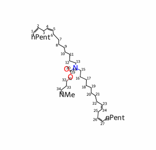 CCCCC/C=C\C/C=C\CCCCCCCCN(CCCCCCCC/C=C\C/C=C\CCCCC)C(=O)OCCCNC